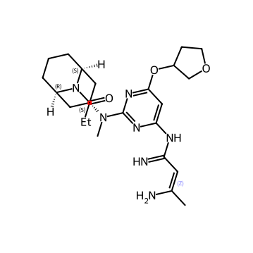 CCC(=O)N1[C@@H]2CCC[C@H]1C[C@H](N(C)c1nc(NC(=N)/C=C(/C)N)cc(OC3CCOC3)n1)C2